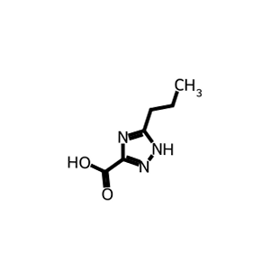 CCCc1nc(C(=O)O)n[nH]1